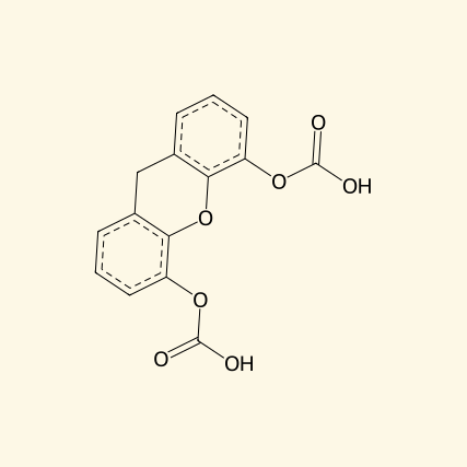 O=C(O)Oc1cccc2c1Oc1c(cccc1OC(=O)O)C2